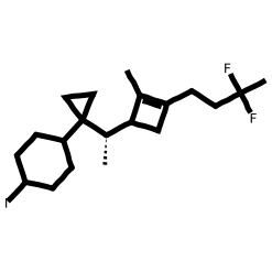 CC1=C(CCC(C)(F)F)CC1[C@H](C)C1(C2CCC(I)CC2)CC1